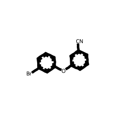 N#Cc1cccc(Oc2cccc(Br)c2)c1